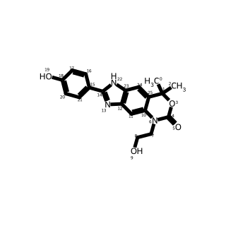 CC1(C)OC(=O)N(CCO)c2cc3nc(-c4ccc(O)cc4)[nH]c3cc21